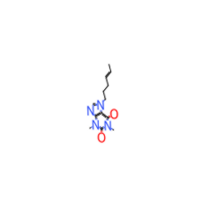 CC=CCCCn1cnc2c1c(=O)n(C)c(=O)n2C